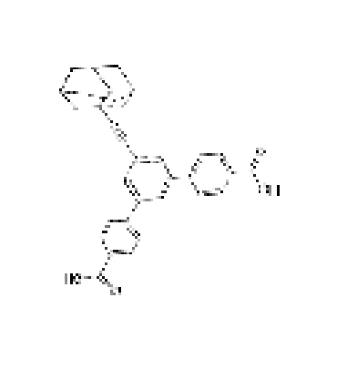 O=C(O)c1ccc(-c2cc(C#CC34CC5CC(CC(C5)C3)C4)cc(-c3ccc(C(=O)O)cc3)c2)cc1